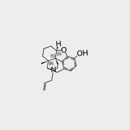 C=CCN1CC[C@]23c4c5ccc(O)c4O[C@H]2CCC[C@@]3(C)C1C5